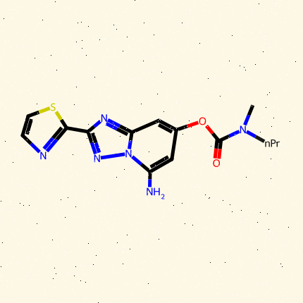 CCCN(C)C(=O)Oc1cc(N)n2nc(-c3nccs3)nc2c1